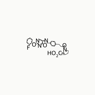 O=C(O)[C@@H]1CCCN1C(=O)CCc1ccc(-c2nc3cnc(Oc4ccccc4F)nc3o2)cc1